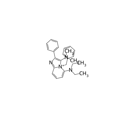 CCN(CC)C1=CC=CC2=NC(c3ccccc3)=C(N(C)C)[N+]12Cc1ccccc1